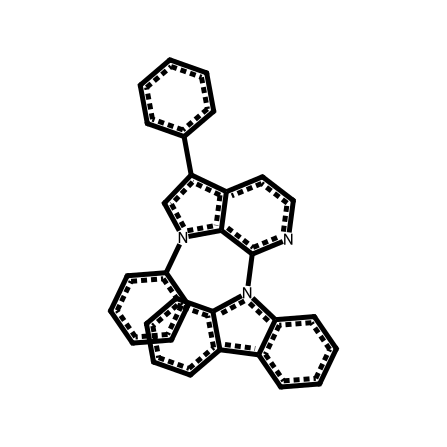 c1ccc(-c2cn(-c3ccccc3)c3c(-n4c5ccccc5c5ccccc54)nccc23)cc1